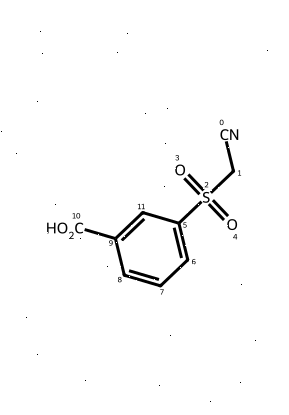 N#CCS(=O)(=O)c1cccc(C(=O)O)c1